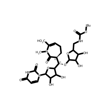 CN1C(=O)[C@H]([C@H](OC2OC(CNC(=O)OC(C)(C)C)C(O)C2O)C2OC(n3ccc(=O)[nH]c3=O)C(O)C2O)CCC=C1C(=O)O